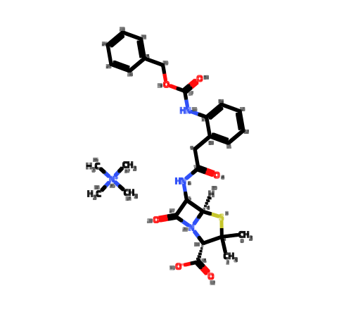 CC1(C)S[C@@H]2C(NC(=O)Cc3ccccc3NC(=O)OCc3ccccc3)C(=O)N2[C@H]1C(=O)[O-].C[N+](C)(C)C